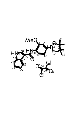 COc1cc(B2OC(C)(C)C(C)(C)O2)ccc1NC(=O)c1c[nH]c2ccccc12.O=C(Cl)C(=O)Cl